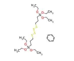 CCO[Si](CCCSSSSCCC[Si](OCC)(OCC)OCC)(OCC)OCC.c1ccccc1